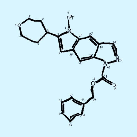 CCCn1c(C2CCOCC2)cc2cc3c(cnn3C(=O)OCc3ccccc3)cc21